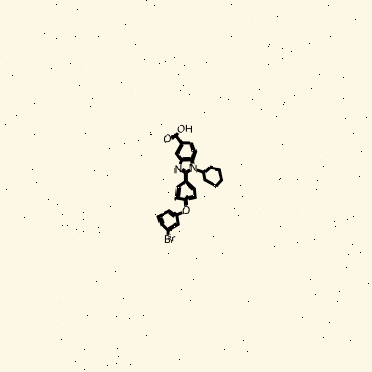 O=C(O)c1ccc2c(c1)nc(-c1ccc(Oc3cccc(Br)c3)cc1)n2C1CCCCC1